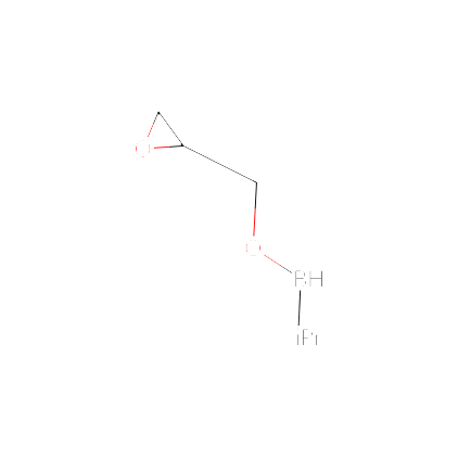 CC(C)BOCC1CO1